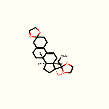 COCC1([C@@]2(O)CC[C@H]3[C@@H]4CCC5=C(CCC6(C5)OCCO6)C4=CC[C@@]32C)OCCO1